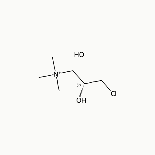 C[N+](C)(C)C[C@@H](O)CCl.[OH-]